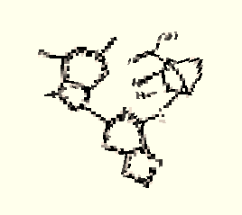 O=C(O)[C@@H]1C2CCC(CC2)[C@H]1Nc1nc(-c2c[nH]c3c(F)cc(F)cc23)nc2scnc12